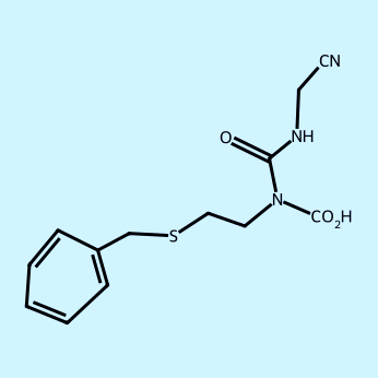 N#CCNC(=O)N(CCSCc1ccccc1)C(=O)O